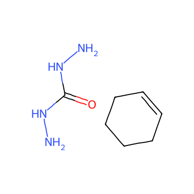 C1=CCCCC1.NNC(=O)NN